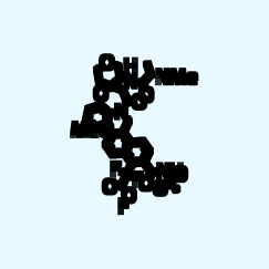 CN[C@@H](C)C(=O)N[C@@H]1C(=O)N(Cc2c(OC)ccc3c(C(F)(F)C(=O)OF)c(C(=O)NS(C)(=O)=O)ccc23)c2ccccc2OC12CCOCC2